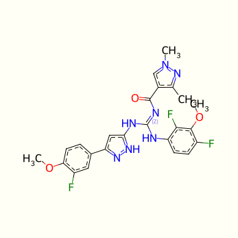 COc1ccc(-c2cc(N/C(=N\C(=O)c3cn(C)nc3C)Nc3ccc(F)c(OC)c3F)[nH]n2)cc1F